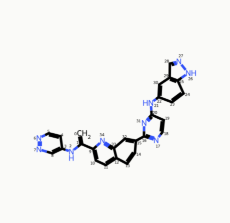 C=C(Nc1ccnnc1)c1ccc2ccc(-c3nccc(Nc4ccc5[nH]ncc5c4)n3)cc2n1